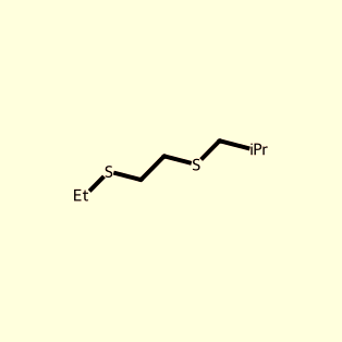 CCSCCSCC(C)C